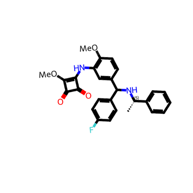 COc1ccc(C(N[C@@H](C)c2ccccc2)c2ccc(F)cc2)cc1Nc1c(OC)c(=O)c1=O